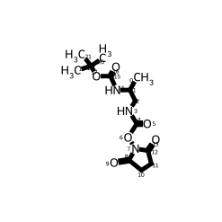 CC(CNC(=O)ON1C(=O)CCC1=O)NC(=O)OC(C)(C)C